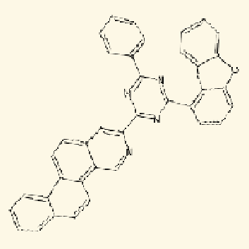 c1ccc(-c2nc(-c3cc4ccc5c6ccccc6ccc5c4cn3)nc(-c3cccc4oc5ccccc5c34)n2)cc1